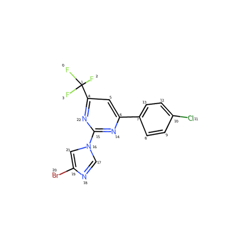 FC(F)(F)c1cc(-c2ccc(Cl)cc2)nc(-n2cnc(Br)c2)n1